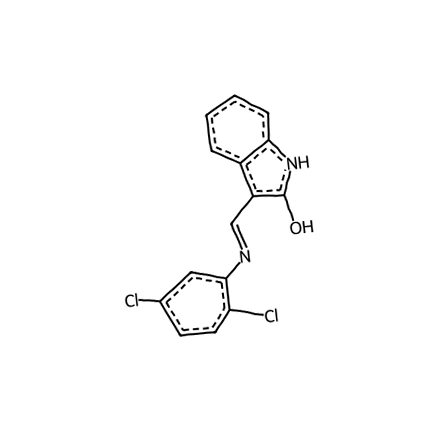 Oc1[nH]c2ccccc2c1C=Nc1cc(Cl)ccc1Cl